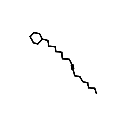 CCCCCCCC#CCCCCCCCC1CCCCC1